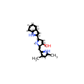 Cc1cc(C)c(/C=C2/N=C(c3cc4ccccc4[nH]3)C=C2O)[nH]1